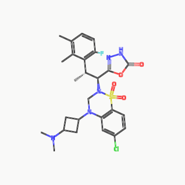 Cc1ccc(F)c([C@@H](C)[C@@H](c2n[nH]c(=O)o2)N2CN(C3CC(N(C)C)C3)c3cc(Cl)ccc3S2(=O)=O)c1C